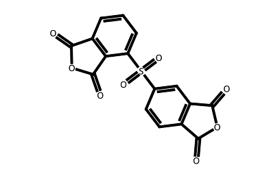 O=C1OC(=O)c2cc(S(=O)(=O)c3cccc4c3C(=O)OC4=O)ccc21